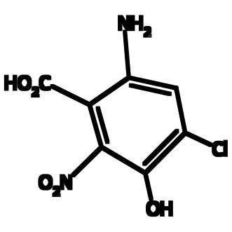 Nc1cc(Cl)c(O)c([N+](=O)[O-])c1C(=O)O